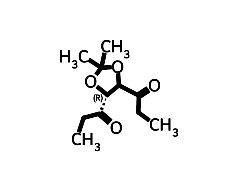 CCC(=O)C1OC(C)(C)O[C@H]1C(=O)CC